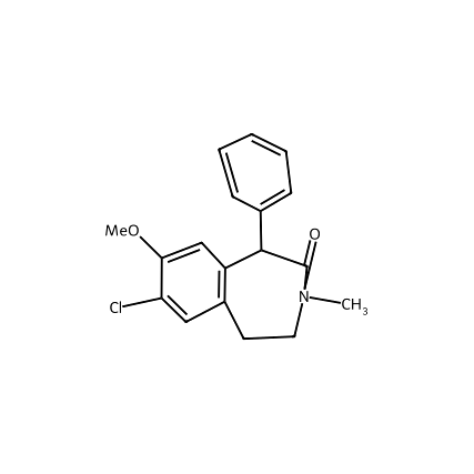 COc1cc2c(cc1Cl)CCN(C)C(=O)C2c1ccccc1